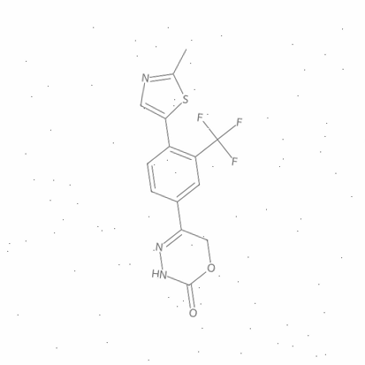 Cc1ncc(-c2ccc(C3=NNC(=O)OC3)cc2C(F)(F)F)s1